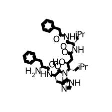 CC(C)C[C@H](NC(=O)C[C@H](O)[C@H](CC(C)C)NC(=O)[C@H](Cc1c[nH]cn1)NC(=O)[C@@H](N)Cc1ccccc1)C(=O)NC(=O)Cc1ccccc1